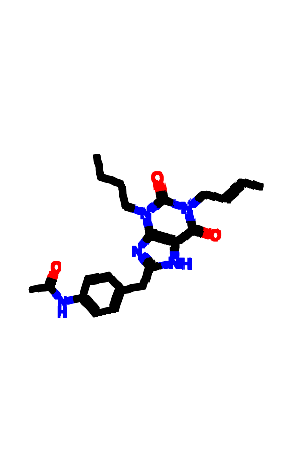 CC=CCn1c(=O)c2[nH]c(Cc3ccc(NC(C)=O)cc3)nc2n(CCCC)c1=O